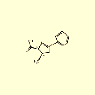 C[C@@H]1CC(c2ccccc2)=N[C@@H]1C(=O)O